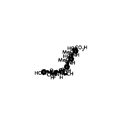 C#CCC(NC(=O)c1ccc(NC(=O)/C(C)=C/c2ccc(O)cc2)cn1)C(=O)Nc1ccc(C(=O)Nc2ccc(C(=O)Nc3ccc(C(=O)O)c(O)c3OC)c(O)c2OC)cc1